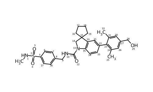 CNS(=O)(=O)c1ccc(CNC(=O)N2CC3(CCCC3)c3cc(-c4c(C)cc(CO)cc4C)ccc32)cc1